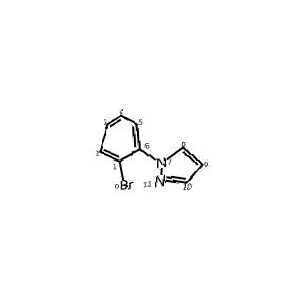 Brc1c[c]ccc1-n1cccn1